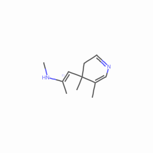 CN/C(C)=C/C1(C)CC=NC=C1C